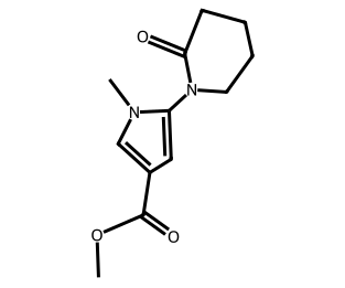 COC(=O)c1cc(N2CCCCC2=O)n(C)c1